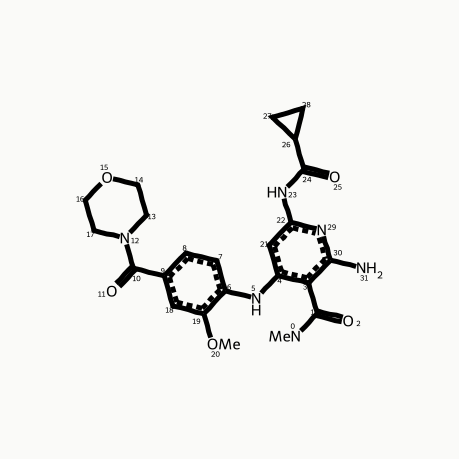 CNC(=O)c1c(Nc2ccc(C(=O)N3CCOCC3)cc2OC)cc(NC(=O)C2CC2)nc1N